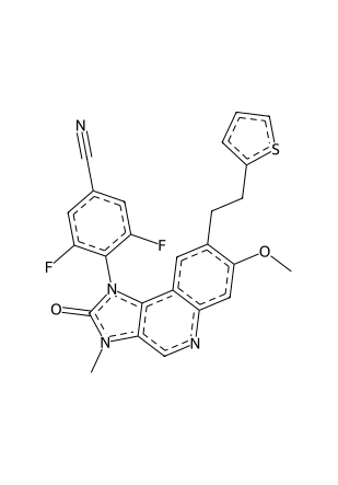 COc1cc2ncc3c(c2cc1CCc1cccs1)n(-c1c(F)cc(C#N)cc1F)c(=O)n3C